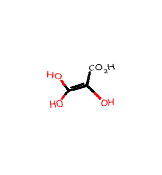 O=C(O)C(O)=C(O)O